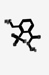 CCc1cccc(C(=O)OC)c1S(=O)(=O)Cl